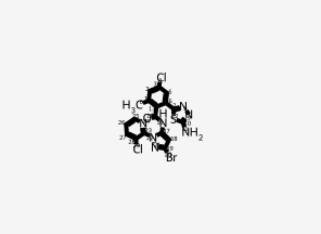 Cc1cc(Cl)cc(-c2nnc(N)s2)c1C(=O)Nc1cc(Br)nn1-c1ncccc1Cl